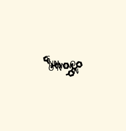 Cc1ccc2c(c1)c(C(=O)N1CCN(c3cnc(C(=O)NCc4cccs4)cn3)CC1)c(-c1ccccc1)n2C